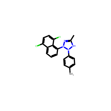 CC1=NN(c2cccc3c(Cl)ccc(Cl)c23)N(c2ccc([N+](=O)[O-])cc2)N1